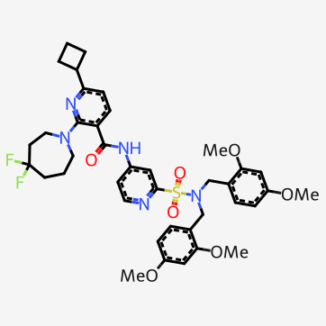 COc1ccc(CN(Cc2ccc(OC)cc2OC)S(=O)(=O)c2cc(NC(=O)c3ccc(C4CCC4)nc3N3CCCC(F)(F)CC3)ccn2)c(OC)c1